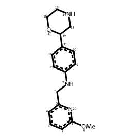 COc1cccc(CNc2ccc(C3CNCCO3)cc2)n1